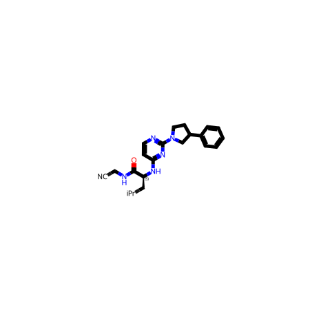 CC(C)C[C@H](Nc1ccnc(N2CCC(c3ccccc3)C2)n1)C(=O)NCC#N